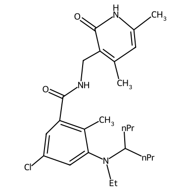 CCCC(CCC)N(CC)c1cc(Cl)cc(C(=O)NCc2c(C)cc(C)[nH]c2=O)c1C